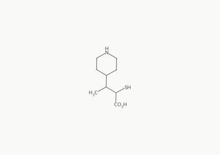 CC(C1CCNCC1)C(S)C(=O)O